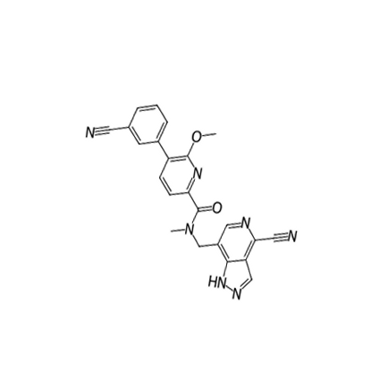 COc1nc(C(=O)N(C)Cc2cnc(C#N)c3cn[nH]c23)ccc1-c1cccc(C#N)c1